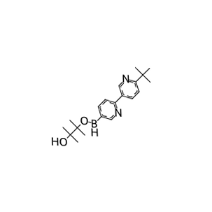 CC(C)(C)c1ccc(-c2ccc(BOC(C)(C)C(C)(C)O)cn2)cn1